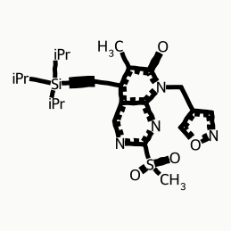 Cc1c(C#C[Si](C(C)C)(C(C)C)C(C)C)c2cnc(S(C)(=O)=O)nc2n(Cc2cnoc2)c1=O